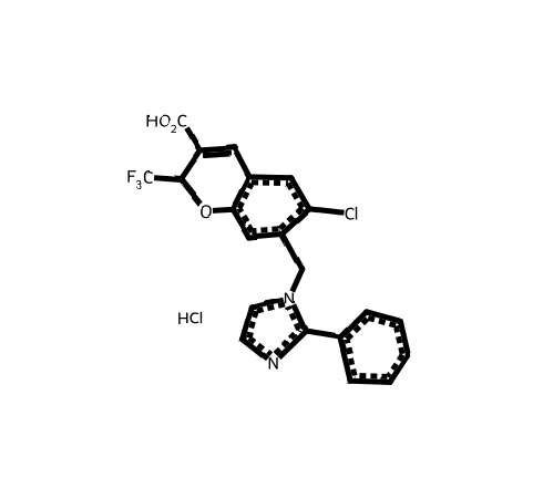 Cl.O=C(O)C1=Cc2cc(Cl)c(Cn3ccnc3-c3ccccc3)cc2OC1C(F)(F)F